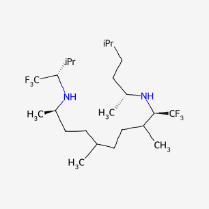 CC(C)CC[C@@H](C)N[C@H](C(C)CCC(C)CC[C@@H](C)N[C@@H](C(C)C)C(F)(F)F)C(F)(F)F